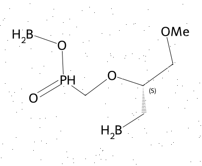 BC[C@@H](COC)OC[PH](=O)OB